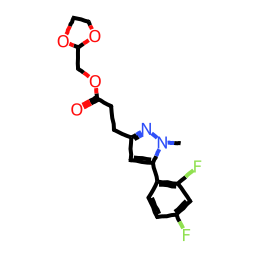 Cn1nc(CCC(=O)OCC2OCCO2)cc1-c1ccc(F)cc1F